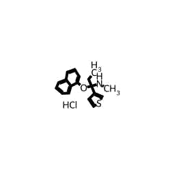 CCC(NC)(Oc1cccc2ccccc12)c1ccsc1.Cl